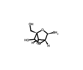 B[C@@H]1O[C@@]2(CO)C(O)O[C@@H]1[C@@H]2O